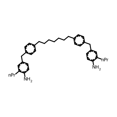 CCCc1cc(Cc2ccc(CCCCCCCc3ccc(Cc4ccc(N)c(CCC)c4)cc3)cc2)ccc1N